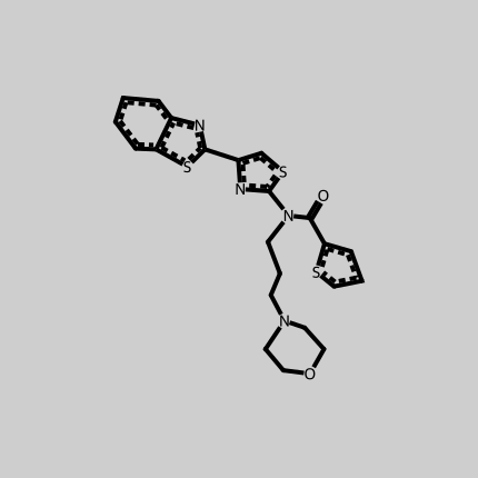 O=C(c1cccs1)N(CCCN1CCOCC1)c1nc(-c2nc3ccccc3s2)cs1